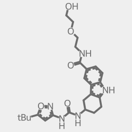 CC(C)(C)c1cc(NC(=O)NC2CCc3[nH]c4ccc(C(=O)NCCOCCO)cc4c3C2)no1